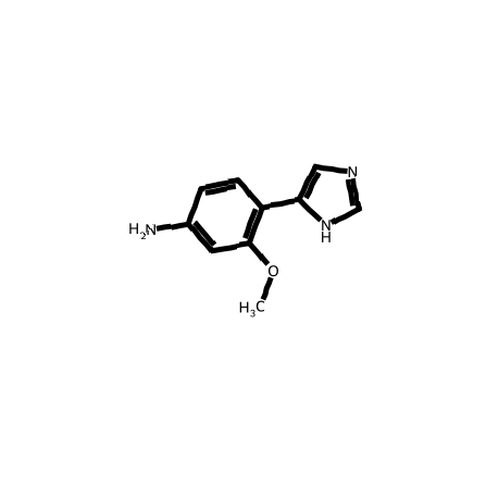 COc1cc(N)ccc1-c1cnc[nH]1